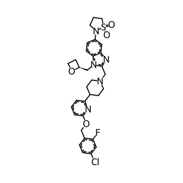 O=S1(=O)CCCN1c1ccc2c(c1)nc(CN1CCC(c3cccc(OCc4ccc(Cl)cc4F)n3)CC1)n2C[C@@H]1CCO1